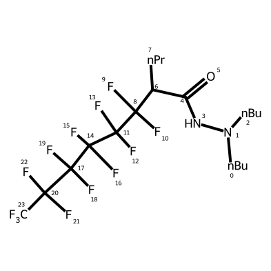 CCCCN(CCCC)NC(=O)C(CCC)C(F)(F)C(F)(F)C(F)(F)C(F)(F)C(F)(F)C(F)(F)F